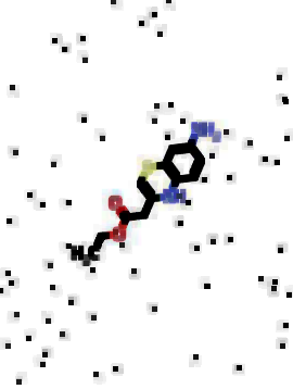 CCOC(=O)CC1=CSc2cc(N)ccc2N1